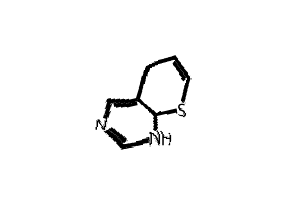 C1=CSC2NC=NC=C2C1